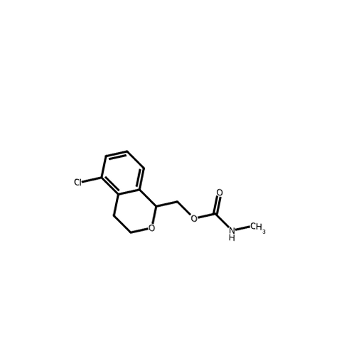 CNC(=O)OCC1OCCc2c(Cl)cccc21